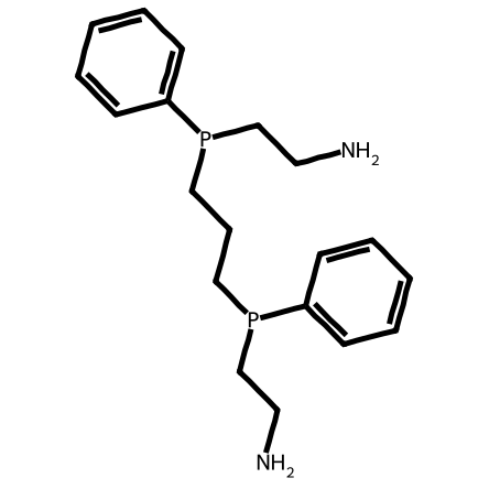 NCCP(CCCP(CCN)c1ccccc1)c1ccccc1